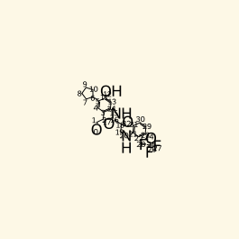 O=CCc1cc(C2CCCC2)c(O)cc1NC(=O)C1CNc2cc(OC(F)(F)F)ccc2O1